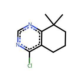 CC1(C)CCCc2c(Cl)ncnc21